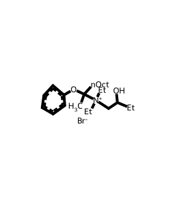 CCCCCCCCC(C)(Oc1ccccc1)[N+](CC)(CC)CC(O)CC.[Br-]